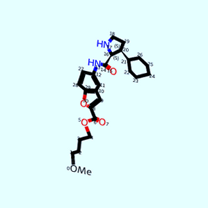 COCCCCOC(=O)c1cc2cc(NC(=O)[C@H]3NCC[C@H]3C3CCCCC3)ccc2o1